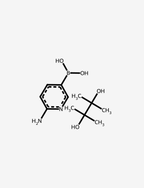 CC(C)(O)C(C)(C)O.Nc1ccc(B(O)O)cn1